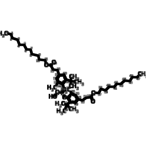 CCCCCCCCCCCCOC(=O)CCc1cc(C)c(OP(OO)Oc2c(C)cc(CCC(=O)OCCCCCCCCCCCC)cc2C(C)(C)C)c(C(C)(C)C)c1